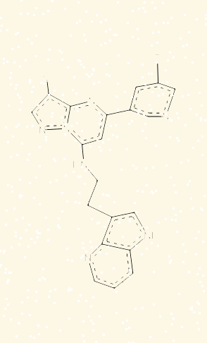 Cc1cnn2c(NCCc3c[nH]c4cccnc34)cc(-c3cncc(F)c3)nc12